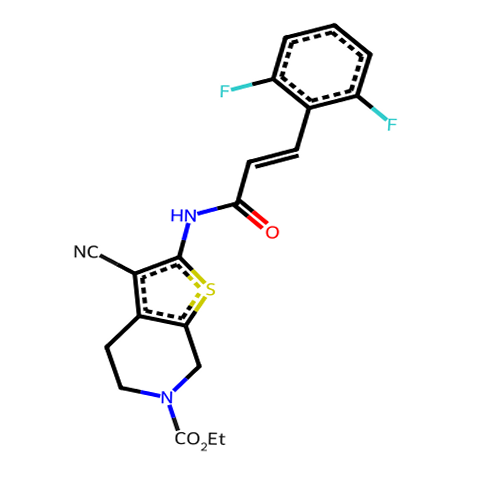 CCOC(=O)N1CCc2c(sc(NC(=O)C=Cc3c(F)cccc3F)c2C#N)C1